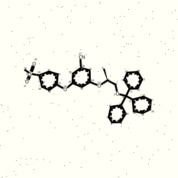 C[C@@H](COC(c1ccccc1)(c1ccccc1)c1ccccc1)Oc1cc(C#N)cc(Oc2ccc(S(C)(=O)=O)cc2)c1